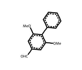 COc1cc(C=O)cc(OC)c1-c1ccccc1